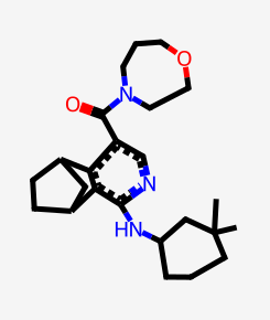 CC1(C)CCCC(Nc2ncc(C(=O)N3CCCOCC3)c3c2C2CCC3C2)C1